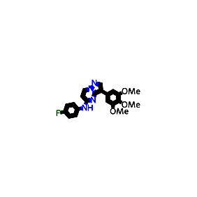 COc1cc(-c2cnn3ccc(Nc4ccc(F)cc4)nc23)cc(OC)c1OC